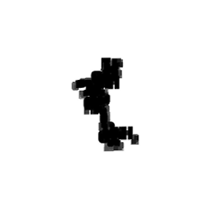 C#CCn1c(C)c(C(=O)C(=O)NCC#CCOC(=O)C(N)C(C)C)c(C)c1C(=O)Nc1ccc(F)c(F)c1